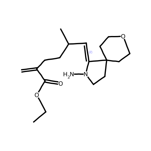 C=C(CCC(C)/C=C1\N(N)CCC12CCOCC2)C(=O)OCC